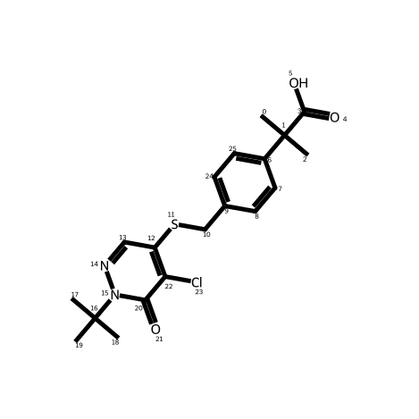 CC(C)(C(=O)O)c1ccc(CSc2cnn(C(C)(C)C)c(=O)c2Cl)cc1